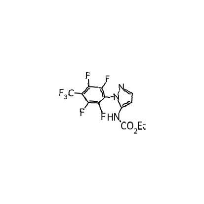 CCOC(=O)Nc1ccnn1-c1c(F)c(F)c(C(F)(F)F)c(F)c1F